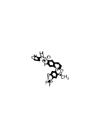 COc1cc(SC(F)(F)F)c(F)cc1-n1c(=O)ccc2cc(S(=O)(=O)Nc3ccon3)c(F)cc21